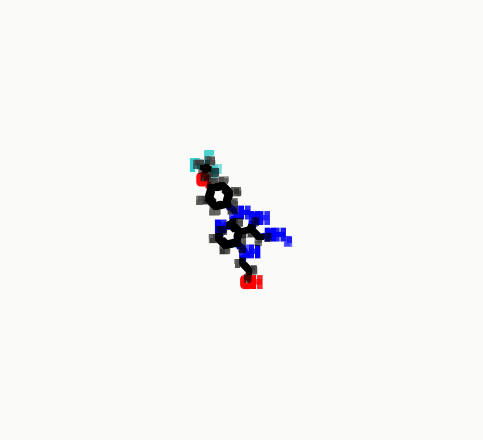 N=C(CN)c1c(NCCO)ccnc1Nc1ccc(OC(F)(F)F)cc1